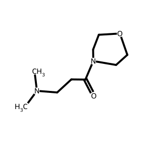 CN(C)CCC(=O)N1CCOCC1